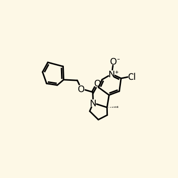 C[C@]1(c2cc[n+]([O-])c(Cl)c2)CCCN1C(=O)OCc1ccccc1